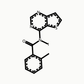 Cc1ccccc1C(=O)N(I)c1ncnc2ccsc12